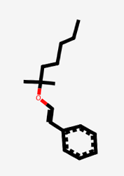 CCCCCC(C)(C)OC=Cc1ccccc1